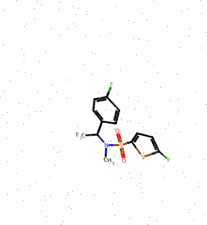 CN(C(c1ccc(F)cc1)C(F)(F)F)S(=O)(=O)c1ccc(F)s1